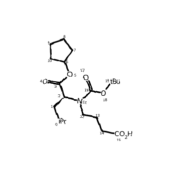 CC(C)C[C@@H](C(=O)OC1CCCC1)N(CCCC(=O)O)C(=O)OC(C)(C)C